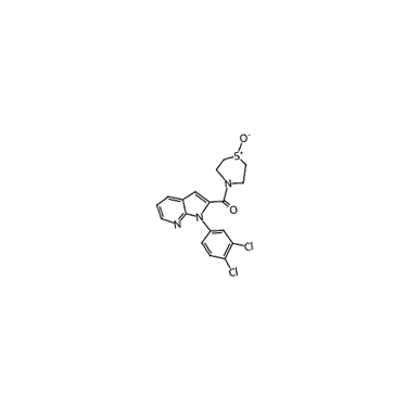 O=C(c1cc2cccnc2n1-c1ccc(Cl)c(Cl)c1)N1CC[S+]([O-])CC1